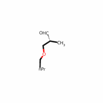 CCCCOC[C@@H](C)C=O